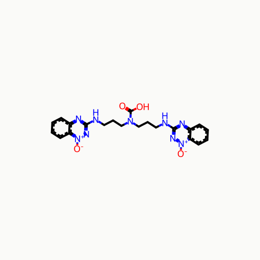 O=C(O)N(CCCNc1nc2ccccc2[n+]([O-])n1)CCCNc1nc2ccccc2[n+]([O-])n1